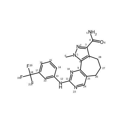 Cn1nc(C(N)=O)c2c1-c1nc(Nc3cccc(C(F)(F)F)c3)ncc1CCC2